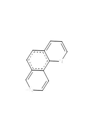 C1=C[N]c2c3c(ccc2=C1)=CNC=C3